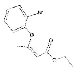 CCOC(=O)/C=C(/C)Oc1ccccc1Br